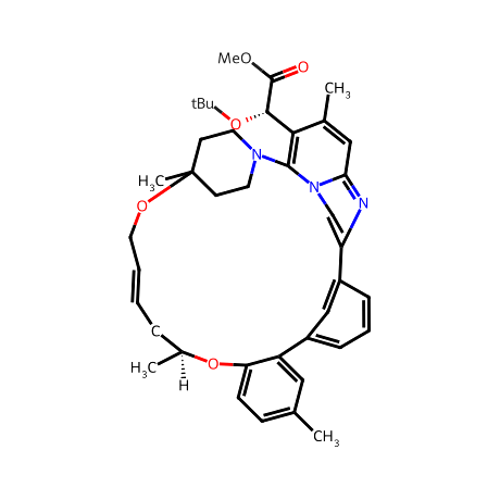 COC(=O)[C@@H](OC(C)(C)C)c1c(C)cc2nc3cn2c1N1CCC(C)(CC1)OC/C=C/C[C@H](C)Oc1ccc(C)cc1-c1cccc-3c1